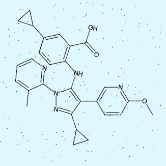 COc1ccc(-c2c(C3CC3)nn(-c3ncccc3C)c2Nc2ccc(C3CC3)cc2C(=O)O)cn1